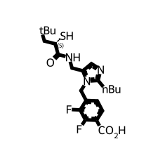 CCCCc1ncc(CNC(=O)[C@@H](S)CC(C)(C)C)n1Cc1ccc(C(=O)O)c(F)c1F